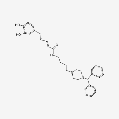 O=C(C=CC=Cc1ccc(O)c(O)c1)NCCCCN1CCN(C(c2ccccc2)c2ccccc2)CC1